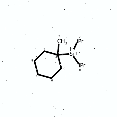 CC(C)[SiH](C(C)C)C1(C)CCCCC1